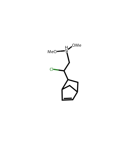 CO[SiH](CC(Cl)C1CC2C=CC1C2)OC